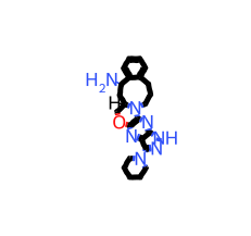 N[C@H]1C[C@@H]2COc3nc4c(N5CCCCC5)n[nH]c4nc3N2CCCc2ccccc21